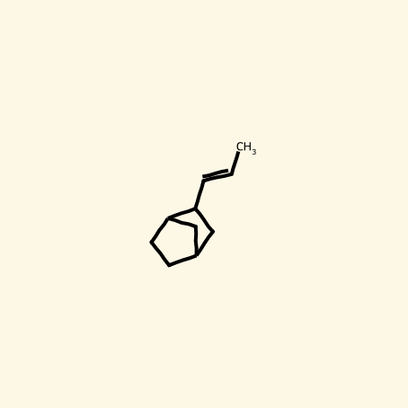 CC=CC1CC2CCC1C2